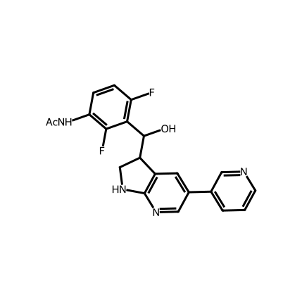 CC(=O)Nc1ccc(F)c(C(O)C2CNc3ncc(-c4cccnc4)cc32)c1F